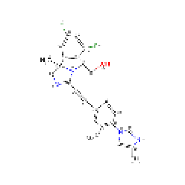 COc1cc(C#CC2=NCC(C)(c3cc(F)cc(F)c3)N2CCO)ccc1-n1cnc(C)c1